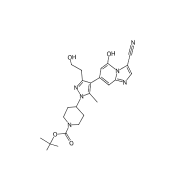 Cc1c(-c2cc(O)n3c(C#N)cnc3c2)c(CCO)nn1C1CCN(C(=O)OC(C)(C)C)CC1